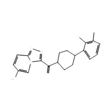 N#Cc1ccc2nnc(C(=O)C3CCC(c4cccc(F)c4C(F)(F)F)CC3)n2c1